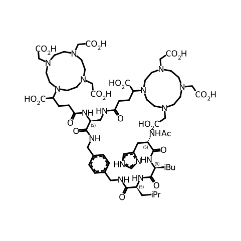 CCC(C)[C@H](NC(=O)[C@H](Cc1c[nH]cn1)NC(C)=O)C(=O)N[C@@H](CC(C)C)C(=O)NCc1ccc(CNC(=O)[C@H](CNC(=O)CCC(C(=O)O)N2CCN(CC(=O)O)CCN(CC(=O)O)CCN(CC(=O)O)CC2)NC(=O)CCC(C(=O)O)N2CCN(CC(=O)O)CCN(CC(=O)O)CCN(CC(=O)O)CC2)cc1